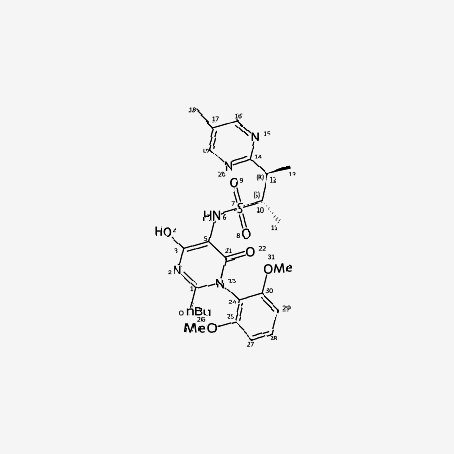 CCCCc1nc(O)c(NS(=O)(=O)[C@@H](C)[C@H](C)c2ncc(C)cn2)c(=O)n1-c1c(OC)cccc1OC